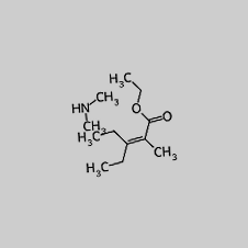 CCOC(=O)C(C)=C(CC)CC.CNC